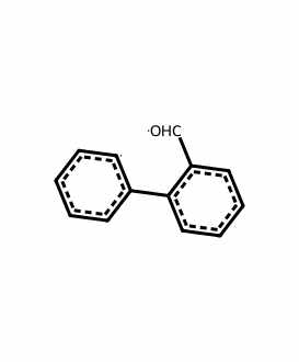 O=[C]c1ccccc1-c1[c]cccc1